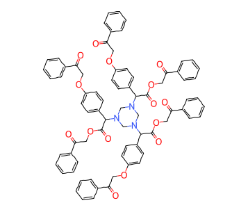 O=C(COC(=O)C(c1ccc(OCC(=O)c2ccccc2)cc1)N1CN(C(C(=O)OCC(=O)c2ccccc2)c2ccc(OCC(=O)c3ccccc3)cc2)CN(C(C(=O)OCC(=O)c2ccccc2)c2ccc(OCC(=O)c3ccccc3)cc2)C1)c1ccccc1